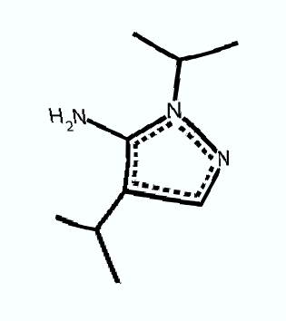 CC(C)c1cnn(C(C)C)c1N